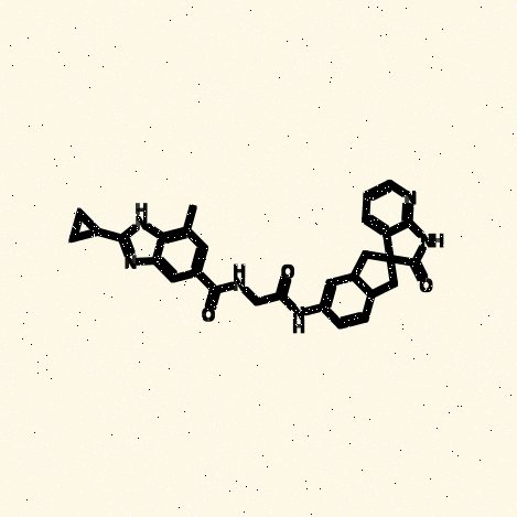 Cc1cc(C(=O)NCC(=O)NC2=CC3CC4(CC3C=C2)C(=O)Nc2ncccc24)cc2nc(C3CC3)[nH]c12